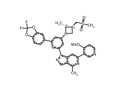 COc1ccncc1-c1cc2c(cnn2-c2cc(N3C[C@H](CS(C)(=O)=O)[C@H]3C)cc(-c3ccc4c(c3)OC(F)(F)O4)n2)c(C)n1